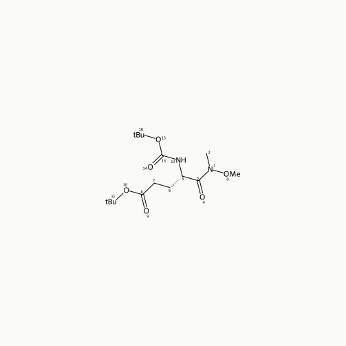 CON(C)C(=O)[C@H](CCC(=O)OC(C)(C)C)NC(=O)OC(C)(C)C